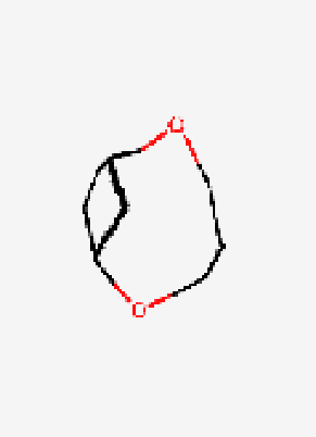 C1COC2CC(C2)OC1